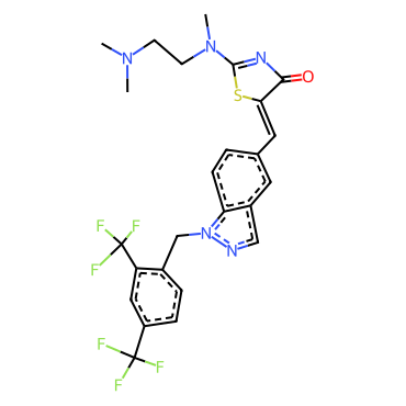 CN(C)CCN(C)C1=NC(=O)/C(=C/c2ccc3c(cnn3Cc3ccc(C(F)(F)F)cc3C(F)(F)F)c2)S1